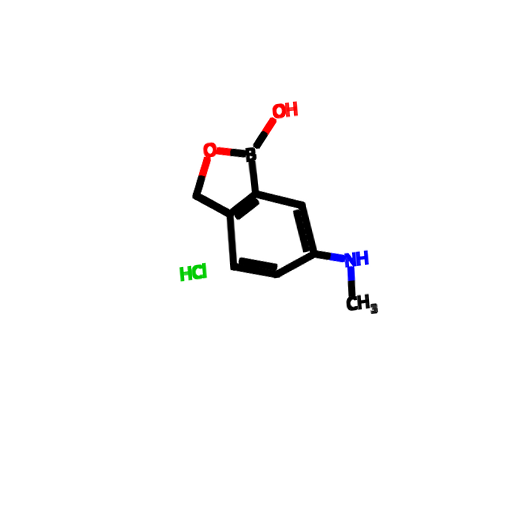 CNc1ccc2c(c1)B(O)OC2.Cl